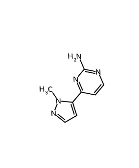 Cn1nccc1-c1ccnc(N)n1